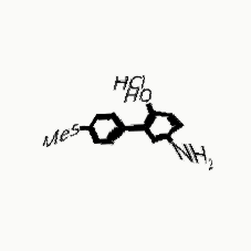 CSc1ccc(-c2cc(N)ccc2O)cc1.Cl